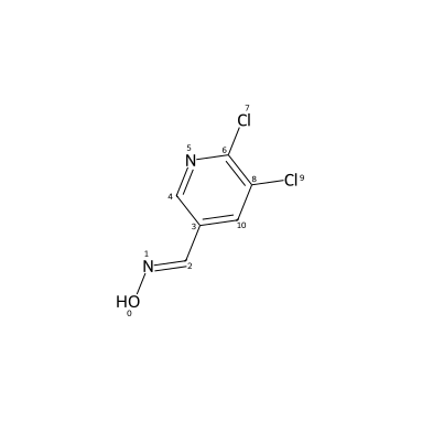 ON=Cc1cnc(Cl)c(Cl)c1